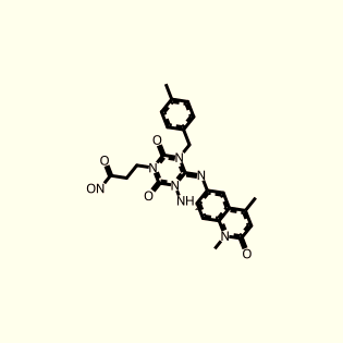 Cc1ccc(Cn2c(=O)n(CCC(=O)N=O)c(=O)n(N)/c2=N\c2ccc3c(c2)c(C)cc(=O)n3C)cc1